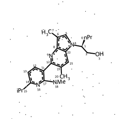 CCC[C@@H](CO)n1cc(C)c2nc(-c3ccc(C(C)C)nc3NC)c(C)cc21